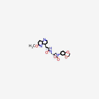 COc1ccc2nccc(/C=C/C(=O)NC[C@@H]3CN(c4ccc5c(c4)OCCO5)C(=O)O3)c2n1